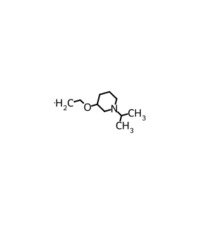 [CH2]COC1CCCN(C(C)C)C1